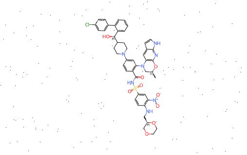 C[C@H]1CN(c2cc(N3CCC([C@@H](O)c4ccccc4-c4ccc(Cl)cc4)CC3)ccc2C(=O)NS(=O)(=O)c2ccc(NC[C@@H]3COCCO3)c([N+](=O)[O-])c2)c2cc3cc[nH]c3nc2O1